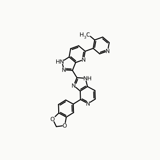 Cc1ccncc1-c1ccc2[nH]nc(-c3nc4c(-c5ccc6c(c5)OCO6)nccc4[nH]3)c2n1